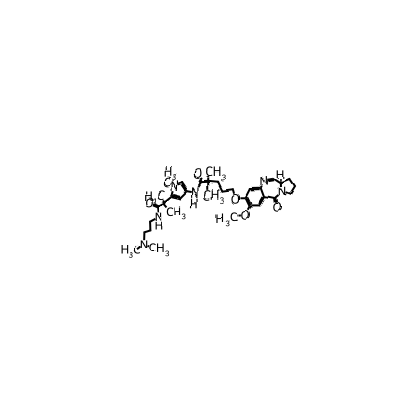 COc1cc2c(cc1OCCCC(C)(C)C(=O)Nc1cc(C(C)(C)C(=O)NCCCN(C)C)n(C)c1)N=C[C@@H]1CCCN1C2=O